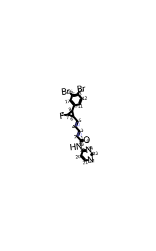 O=C(/C=C/C=C/C1C(F)C1c1ccc(Br)c(Br)c1)Nc1ccncn1